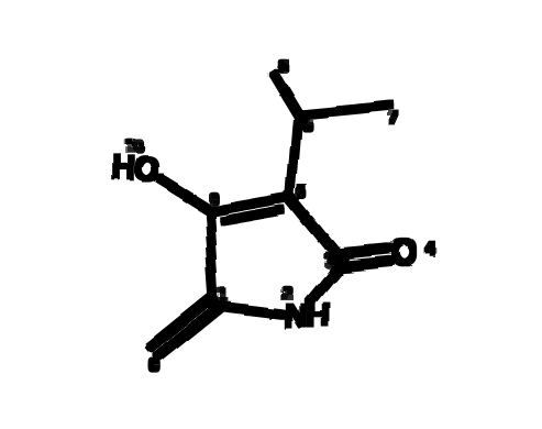 C=C1NC(=O)C(C(C)C)=C1O